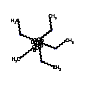 CCCCCCCC/C=C\CCCCCCCC(=O)OC[C@@H](OC(=O)CCCCCCC/C=C\CCCCCCCC)[C@H](OC(=O)CCCCCCC/C=C\CCCCCCCC)[C@@H](OC(=O)CCCCCCC/C=C\CCCCCCCC)C(=O)COC(=O)CCCCCCCCCCC